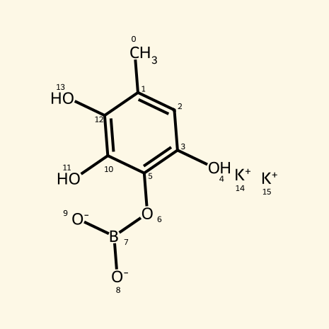 Cc1cc(O)c(OB([O-])[O-])c(O)c1O.[K+].[K+]